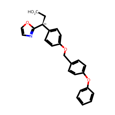 O=C(O)C[C@@H](c1ccc(OCc2ccc(Oc3ccccc3)cc2)cc1)c1ncco1